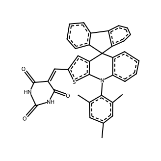 Cc1cc(C)c(N2c3ccccc3C3(c4ccccc4-c4ccccc43)c3cc(C=C4C(=O)NC(=O)NC4=O)sc32)c(C)c1